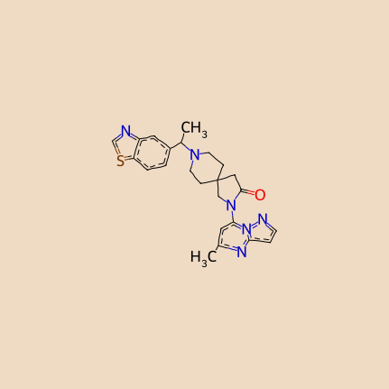 Cc1cc(N2CC3(CCN(C(C)c4ccc5scnc5c4)CC3)CC2=O)n2nccc2n1